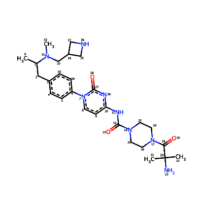 CC(Cc1ccc(-n2ccc(NC(=O)N3CCN(C(=O)C(C)(C)N)CC3)nc2=O)cc1)N(C)CC1CNC1